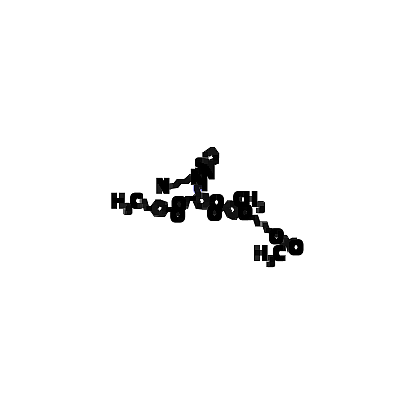 CCCc1ccc(C(=O)OCCc2ccc(OC(=O)c3ccc(OCCCCCCOCC4(CC)COC4)c(C)c3)cc2/C=N/N(CCCCC#N)c2nc3ccccc3s2)cc1